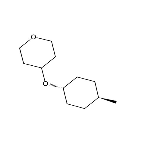 C[C@H]1CC[C@H](OC2CCOCC2)CC1